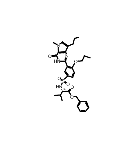 CCCOc1ccc(S(=O)(=O)N[C@H](C(=O)OCc2ccccc2)C(C)C)cc1-c1nc2c(CCC)cn(C)c2c(=O)[nH]1